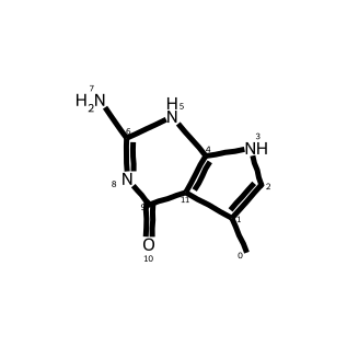 Cc1c[nH]c2[nH]c(N)nc(=O)c12